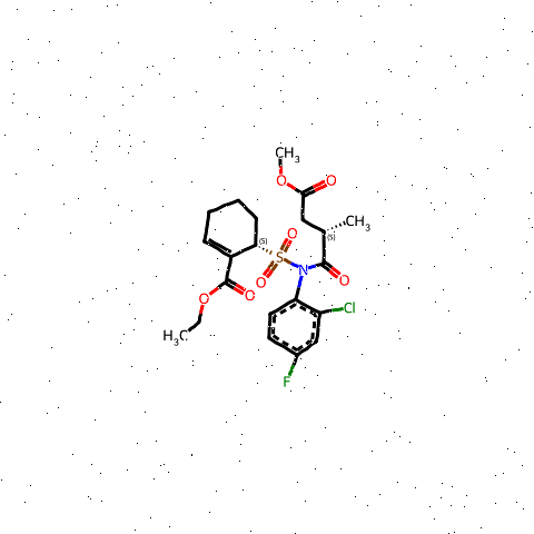 CCOC(=O)C1=CCCC[C@@H]1S(=O)(=O)N(C(=O)[C@@H](C)CC(=O)OC)c1ccc(F)cc1Cl